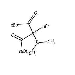 CCCC(C(=O)OCC(C)C)(C(=O)C(C)(C)C)[Si](C)C